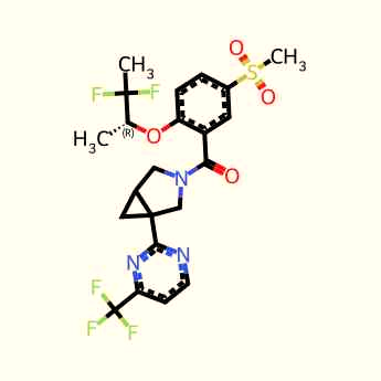 C[C@@H](Oc1ccc(S(C)(=O)=O)cc1C(=O)N1CC2CC2(c2nccc(C(F)(F)F)n2)C1)C(C)(F)F